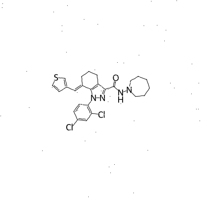 O=C(NN1CCCCCC1)c1nn(-c2ccc(Cl)cc2Cl)c2c1CCC/C2=C\c1ccsc1